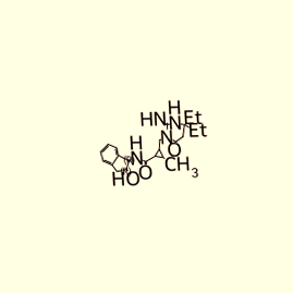 CCC1(CC)CC(=O)N(CC2C(C)C2C(=O)N[C@@H]2c3ccccc3C[C@H]2O)C(=N)N1